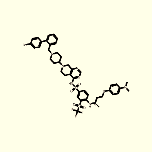 C[C@H](CCSc1ccc(N(C)C)cc1)Nc1ccc(S(=O)(=O)Nc2ncnc3c2CCN(C2CCN(Cc4ccccc4-c4ccc(Br)cc4)CC2)C3)cc1S(=O)(=O)C(F)(F)F